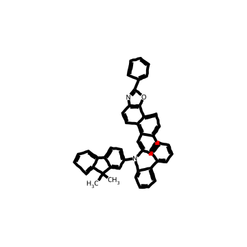 CC1(C)c2ccccc2-c2ccc(N(c3ccc4ccc5c(ccc6nc(-c7ccccc7)oc65)c4c3)c3ccccc3-c3ccccc3)cc21